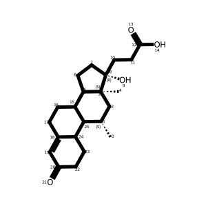 C[C@H]1C[C@@]2(C)C(CC[C@@]2(O)CCC(=O)O)C2CCC3=CC(=O)CCC3C21